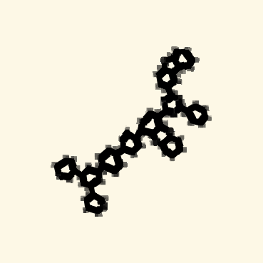 C1=CC2Oc3c(-c4ccc(-c5ccc(-c6cc(-c7cccnc7)cc(-c7cccnc7)c6)cc5)cc4)ccc(-c4nc(-c5ccccc5)nc(-c5ccc6oc7ccccc7c6c5)n4)c3OC2C=C1